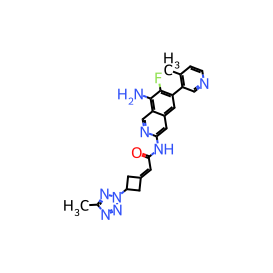 Cc1nnn(C2CC(=CC(=O)Nc3cc4cc(-c5cnccc5C)c(F)c(N)c4cn3)C2)n1